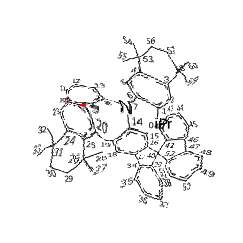 CC(C)c1cc2c(cc1N(c1ccccc1)c1cc3c(cc1-c1cccc4c1C(C)(C)CCC4(C)C)-c1ccccc1C31c3ccccc3-c3ccccc31)C(C)(C)CCC2(C)C